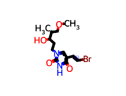 COCC(C)C(O)CCn1cc(/C=C/Br)c(=O)[nH]c1=O